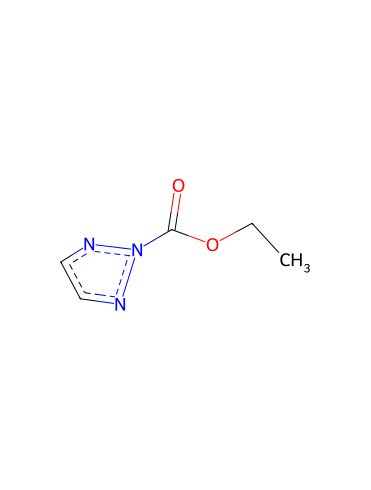 CCOC(=O)n1nccn1